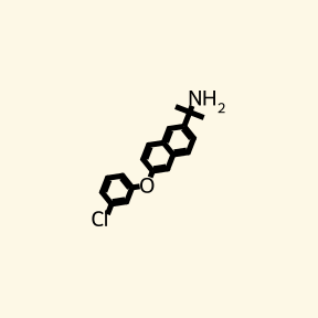 CC(C)(N)c1ccc2cc(Oc3cccc(Cl)c3)ccc2c1